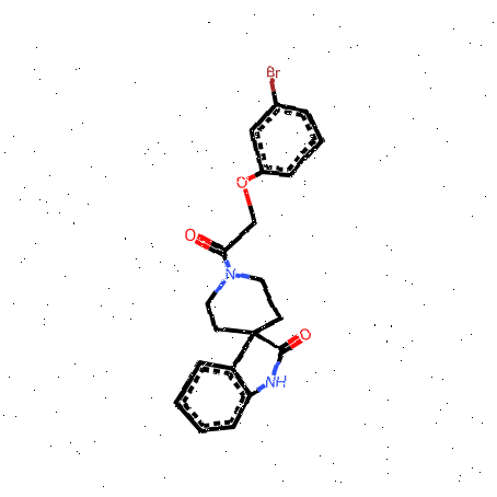 O=C(COc1cccc(Br)c1)N1CCC2(CC1)C(=O)Nc1ccccc12